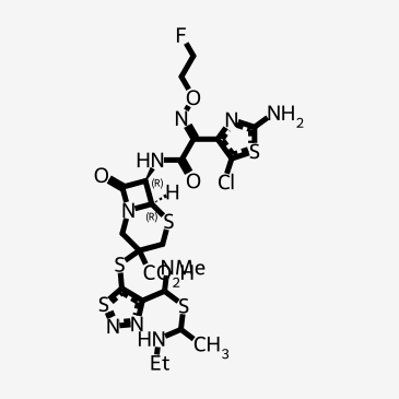 CCNC(C)SC(NC)c1nnsc1SC1(C(=O)O)CS[C@@H]2[C@H](NC(=O)C(=NOCCF)c3nc(N)sc3Cl)C(=O)N2C1